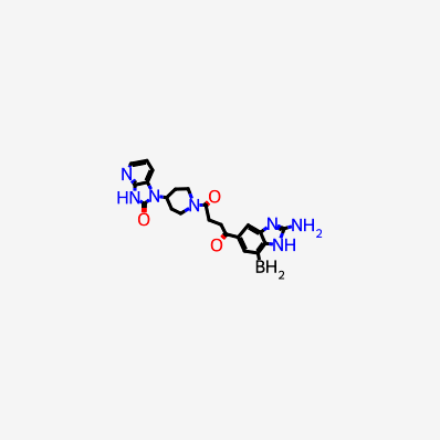 Bc1cc(C(=O)CCC(=O)N2CCC(n3c(=O)[nH]c4ncccc43)CC2)cc2nc(N)[nH]c12